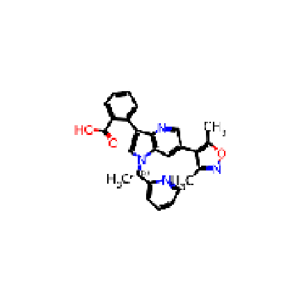 Cc1noc(C)c1-c1cnc2c(-c3ccccc3C(=O)O)cn([C@@H](C)c3ccccn3)c2c1